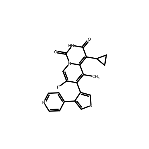 Cc1c(-c2cscc2-c2ccncc2)c(F)cn2c(=O)[nH]c(=O)c(C3CC3)c12